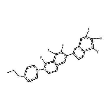 CCCc1ccc(-c2ccc3cc(-c4ccc5c(F)c(F)c(F)cc5c4)c(F)c(F)c3c2F)cc1